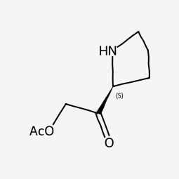 CC(=O)OCC(=O)[C@@H]1CCCN1